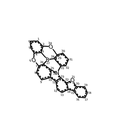 c1cc2c3c(c1)Oc1ccc4c5ccc6c7ccccc7oc6c5n5c4c1B3c1c(cccc1-5)O2